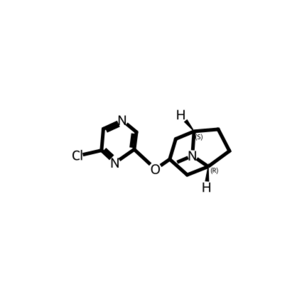 CN1[C@@H]2CC[C@H]1CC(Oc1cncc(Cl)n1)C2